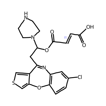 O=C(O)/C=C/C(=O)OC(CC1=Nc2cc(Cl)ccc2Oc2cscc21)N1CCNCC1